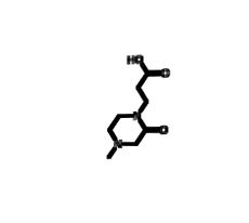 CN1CCN(CCC(=O)O)C(=O)C1